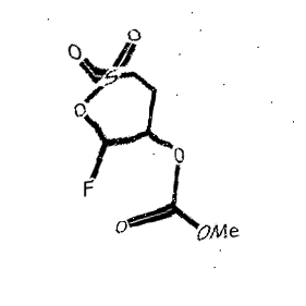 COC(=O)OC1CS(=O)(=O)OC1F